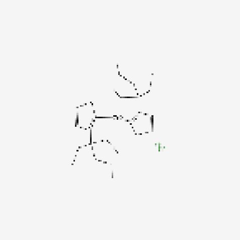 CCCC(CC)(CC)C1=[C]([Zr+2][C]2=C(C(CC)(CC)CCC)C=CC2)CC=C1.[Cl-].[Cl-]